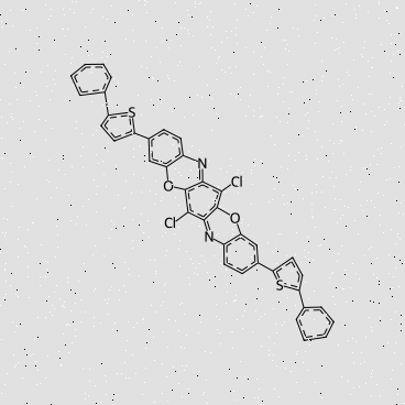 Clc1c2c(c(Cl)c3c1=Nc1ccc(-c4ccc(-c5ccccc5)s4)cc1O3)=Nc1ccc(-c3ccc(-c4ccccc4)s3)cc1O2